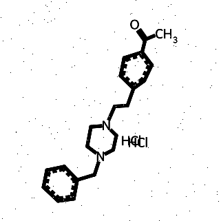 CC(=O)c1ccc(CCN2CCN(Cc3ccccc3)CC2)cc1.Cl.Cl